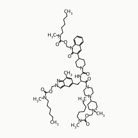 CCCCCCN(C)C(=O)OCn1cc2cc(C[C@@H](NC(=O)N3CCC(c4cc5ccccc5n(COC(=O)N(C)CCCCCC)c4=O)CC3)C(=O)N3CCN(C4CC[N+](C)(COC(=O)N(C)CCCCCC)CC4)CC3)cc(C)c2n1